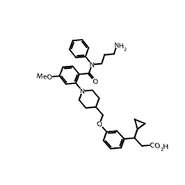 COc1ccc(C(=O)N(CCCN)c2ccccc2)c(N2CCC(COc3cccc(C(CC(=O)O)C4CC4)c3)CC2)c1